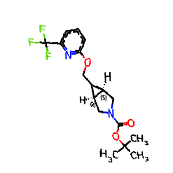 CC(C)(C)OC(=O)N1C[C@@H]2C(COc3cccc(C(F)(F)F)n3)[C@@H]2C1